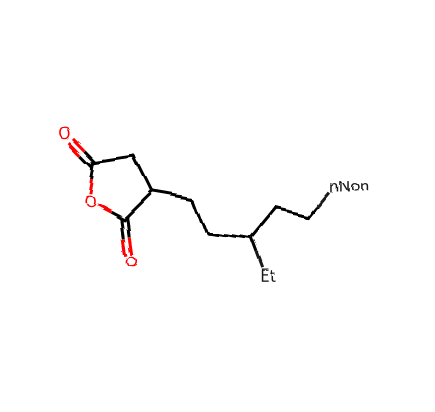 CCCCCCCCCCCC(CC)CCC1CC(=O)OC1=O